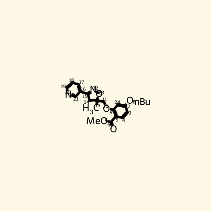 CCCCOc1ccc(C(=O)OC)c(OCC2(C)CC(c3cccnc3)=NO2)c1